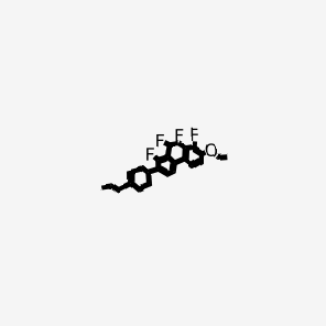 CCCC1=CCC(c2ccc3c(c2F)C(F)C(F)c2c-3ccc(OCC)c2F)CC1